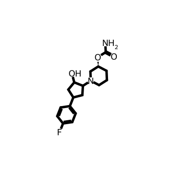 NC(=O)O[C@@H]1CCCN(C2CC(c3ccc(F)cc3)CC2O)C1